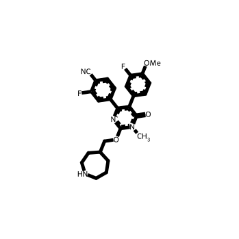 COc1ccc(-c2c(-c3ccc(C#N)c(F)c3)nc(OCC3CCCNCC3)n(C)c2=O)cc1F